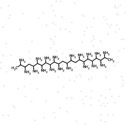 CC(N)C(N)CC(N)C(N)C(N)C(N)C(N)C(N)C(N)CC(N)C(N)CC(N)C(N)C(N)C(N)C(N)C(N)C(C)N